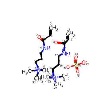 C=CC(=O)NCCC[N+](C)(C)C.C=CC(=O)NCCC[N+](C)(C)C.O=S(=O)([O-])[O-]